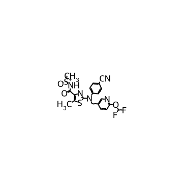 Cc1sc(N(Cc2ccc(OC(F)F)nc2)c2ccc(C#N)cc2)nc1C(=O)N[S+](C)[O-]